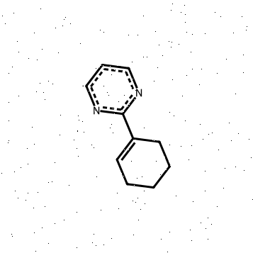 [c]1ccnc(C2=CCCCC2)n1